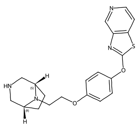 c1cc2sc(Oc3ccc(OCCN4[C@@H]5CC[C@H]4CNC5)cc3)nc2cn1